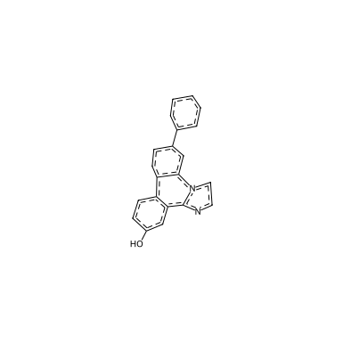 Oc1ccc2c3ccc(-c4ccccc4)cc3n3ccnc3c2c1